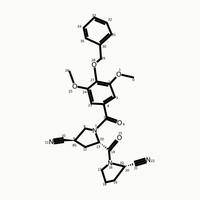 COc1cc(C(=O)N2C[C@H](C#N)C[C@H]2C(=O)N2CCC[C@H]2C#N)cc(OC)c1OCc1ccccc1